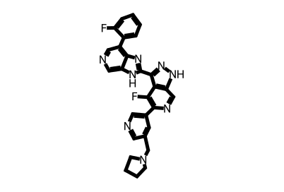 Fc1ccccc1-c1cncc2[nH]c(-c3n[nH]c4cnc(-c5cncc(CN6CCCC6)c5)c(F)c34)nc12